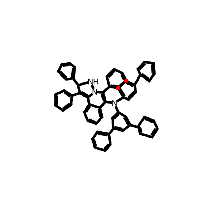 c1ccc(C2=C3c4ccccc4C(N(c4ccc(-c5ccccc5)cc4)c4cc(-c5ccccc5)cc(-c5ccccc5)c4)=C(c4ccccc4)N3NC2c2ccccc2)cc1